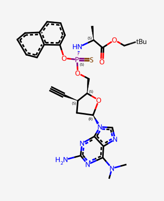 C#C[C@@H]1C[C@H](n2cnc3c(N(C)C)nc(N)nc32)O[C@@H]1CO[P@@](=S)(N[C@@H](C)C(=O)OCC(C)(C)C)Oc1cccc2ccccc12